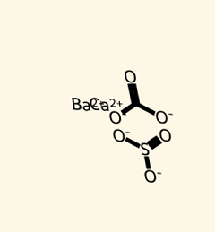 O=C([O-])[O-].O=S([O-])[O-].[Ba+2].[Ca+2]